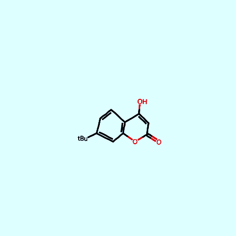 CC(C)(C)c1ccc2c(O)cc(=O)oc2c1